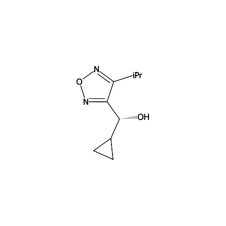 CC(C)c1nonc1[C@H](O)C1CC1